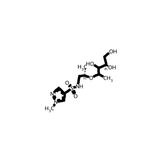 CC(O[C@@H](C)CNS(=O)(=O)c1cnn(C)c1)C(O)[C@H](O)CO